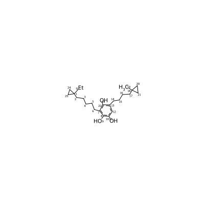 CCC1(CCCCCc2c(O)c(O)cc(CCCCC3(C)CC3)c2O)CC1